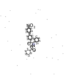 O=C(/C(=N\OC(=O)C1CCCCC1)c1ccccc1)c1ccc(-c2ccc([N+](=O)[O-])cc2)cc1